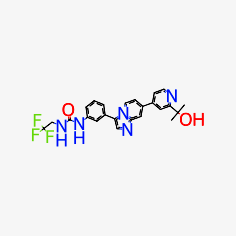 CC(C)(O)c1cc(-c2ccn3c(-c4cccc(NC(=O)NCC(F)(F)F)c4)cnc3c2)ccn1